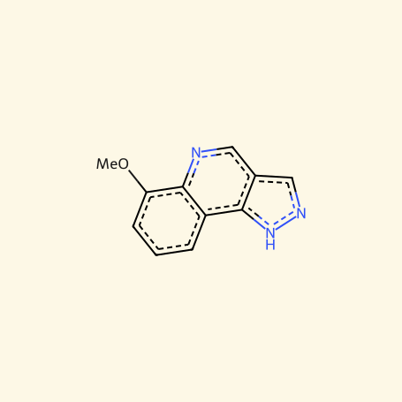 COc1cccc2c1ncc1cn[nH]c12